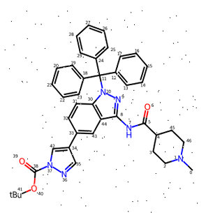 CN1CCC(C(=O)Nc2nn(C(c3ccccc3)(c3ccccc3)c3ccccc3)c3ccc(-c4cnn(C(=O)OC(C)(C)C)c4)cc23)CC1